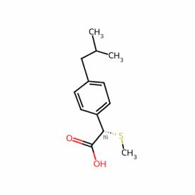 CS[C@H](C(=O)O)c1ccc(CC(C)C)cc1